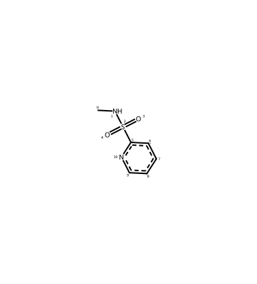 CNS(=O)(=O)c1[c]cccn1